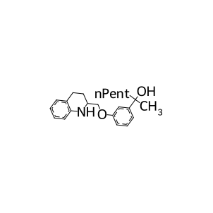 CCCCCC(C)(O)c1cccc(OCC2CCc3ccccc3N2)c1